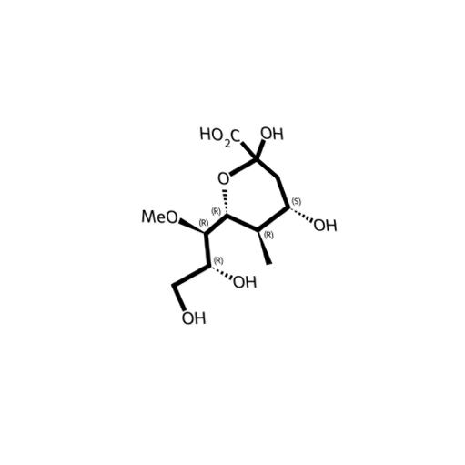 CO[C@@H]([C@@H]1OC(O)(C(=O)O)C[C@H](O)[C@H]1C)[C@H](O)CO